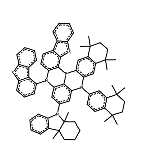 CC1(C)CCC(C)(C)c2cc(N3c4cc5c(cc4B4c6c3cc(N3c7ccccc7C7(C)CCCCC37C)cc6N(c3cccc6sc7ccccc7c36)c3ccc6c(sc7ccccc76)c34)C(C)(C)CCC5(C)C)ccc21